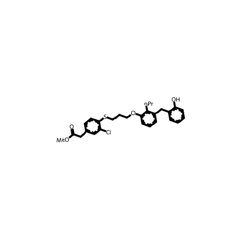 CCCc1c(Cc2ccccc2O)cccc1OCCCSc1ccc(CC(=O)OC)cc1Cl